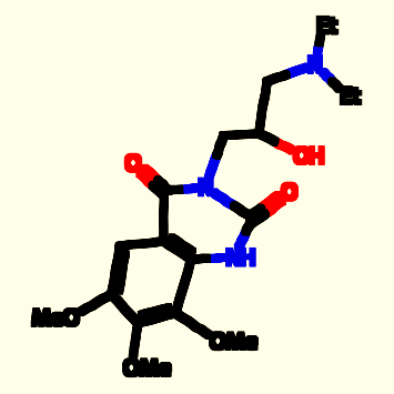 CCN(CC)CC(O)Cn1c(=O)[nH]c2c(OC)c(OC)c(OC)cc2c1=O